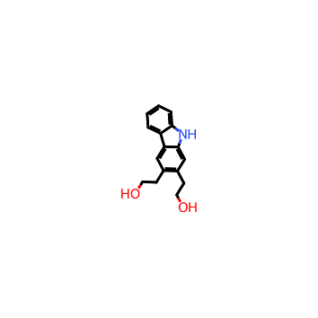 OCCc1cc2[nH]c3ccccc3c2cc1CCO